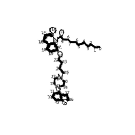 CCCCCCCCCCC(=O)n1c(=O)ccc2ccc(OCCCCN3CCN(c4cccc5sccc45)CC3)cc21